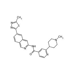 Cc1nnc(-c2ccc3cnc(NC(=O)c4ccnc(C5CCN(C)CC5)c4)cc3c2)s1